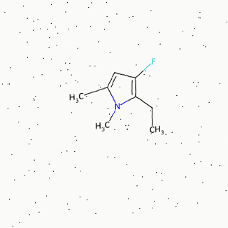 CCc1c(F)cc(C)n1C